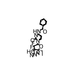 [N-]=[N+]=N[C@]1(CI)O[C@@H](n2ccc(NC(=O)c3ccccc3)nc2=O)C(F)(F)[C@@H]1O